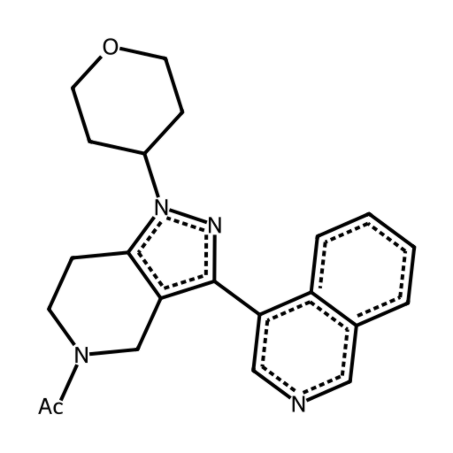 CC(=O)N1CCc2c(c(-c3cncc4ccccc34)nn2C2CCOCC2)C1